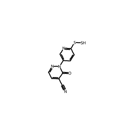 N#Cc1ccnn(-c2ccc(SS)nc2)c1=O